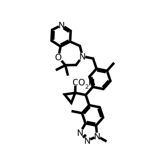 Cc1ccc(C(c2ccc3c(nnn3C)c2C)C2(C(=O)O)CC2)cc1CN1Cc2cnccc2OC(C)(C)C1